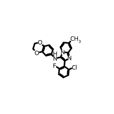 Cc1ccn2c(Nc3ccc4c(c3)OCCO4)c(-c3c(F)cccc3Cl)nc2c1